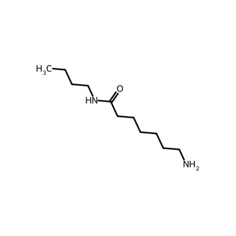 CCCCNC(=O)CCCCCCN